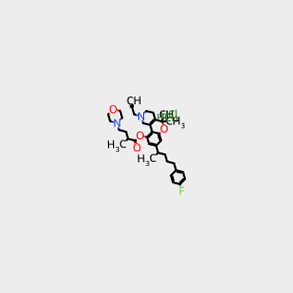 C#CCN1CCC2=C(C1)c1c(OC(=O)C(C)CCN3CCOCC3)cc(C(C)CCCc3ccc(F)cc3)cc1OC2(C)C.Cl.Cl